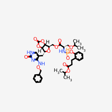 CC(C)OC[C@H](N[PH](=O)Oc1ccccc1CCC(=O)OC(C)C)C(=O)OC[C@H]1O[C@H](Cc2c[nH]c(=O)nc2NOCc2ccccc2)[C@H]2OC(=O)O[C@@H]21